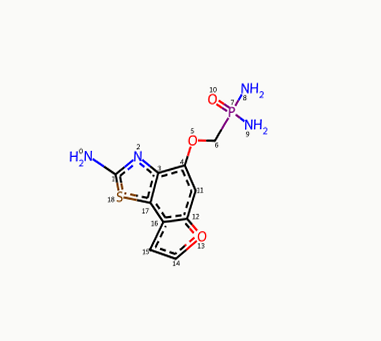 Nc1nc2c(OCP(N)(N)=O)cc3occc3c2s1